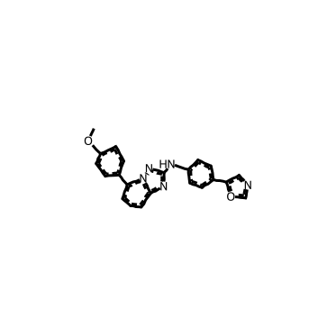 COc1ccc(-c2cccc3nc(Nc4ccc(-c5cnco5)cc4)nn23)cc1